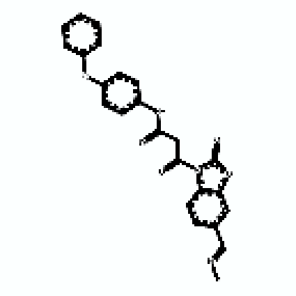 CN=Cc1ccc2c(c1)oc(=O)n2C(=O)CC(=O)Nc1ccc(Oc2ccccc2)cc1